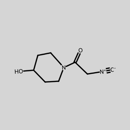 [C-]#[N+]CC(=O)N1CCC(O)CC1